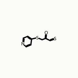 O=C(C=S)CSc1ccncc1